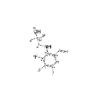 C=Cc1cc(C)c(F)c(F)c1NCC(C)(C)O